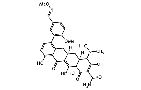 CO/N=C/c1ccc(OC)c(-c2ccc(O)c3c2C[C@H]2C[C@H]4[C@@H](N(C)C)C(O)=C(C(N)=O)C(=O)[C@@]4(O)C(O)=C2C3=O)c1